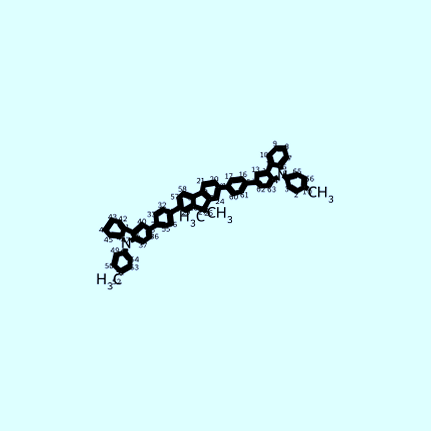 Cc1ccc(-n2c3ccccc3c3cc(-c4ccc(-c5ccc6c(c5)C(C)(C)c5cc(-c7ccc(-c8ccc9c(c8)c8ccccc8n9-c8ccc(C)cc8)cc7)ccc5-6)cc4)ccc32)cc1